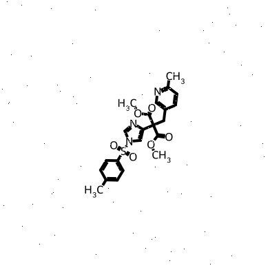 COC(=O)C(Cc1ccc(C)nc1)(C(=O)OC)c1cn(S(=O)(=O)c2ccc(C)cc2)cn1